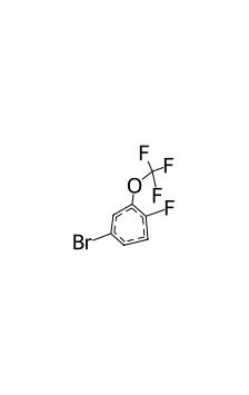 Fc1ccc(Br)cc1OC(F)(F)F